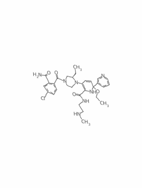 CCOC1(c2cccnc2)C=CC(N2CCN(C(=O)c3ccc(Cl)cc3C(N)=O)C[C@H]2CC)=C(C(=O)NCCNC)N1